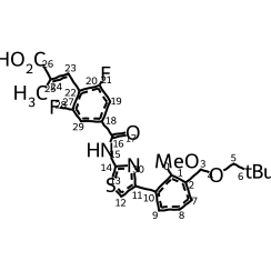 COc1c(COCC(C)(C)C)cccc1-c1csc(NC(=O)c2cc(F)c(C=C(C)C(=O)O)c(F)c2)n1